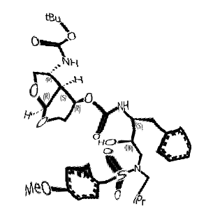 COc1ccc(S(=O)(=O)N(CC(C)C)C[C@@H](O)[C@H](Cc2ccccc2)NC(=O)O[C@H]2CO[C@H]3OC[C@H](NC(=O)OC(C)(C)C)[C@H]32)cc1